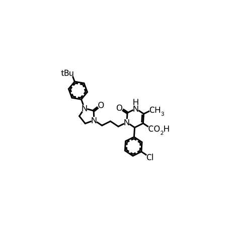 CC1=C(C(=O)O)C(c2cccc(Cl)c2)N(CCCN2CCN(c3ccc(C(C)(C)C)cc3)C2=O)C(=O)N1